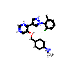 Cc1cccc(F)c1-n1cc(-c2ncncc2OCC2CCC(NC(=O)O)CC2)cn1